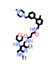 CCc1nc2c(cnn2CC)c(NC2CCOCC2)c1CNC(=O)CCC(=O)NCc1ccc(C)c(-c2cccc(CN3CCN(C)CC3)c2)c1